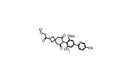 CCOCC(=O)N1CC2(CC(=O)C(c3c(C)cc(-c4ccc(C#N)cn4)cc3OC)C(=O)C2)C1